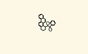 O=C1c2ccccc2OC1C1CCCc2ccc3c(ccc4ccccc43)c21